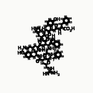 C[C@H](N)C(=O)N[C@H](Cc1ccccc1)C(=O)N[C@H](CCCNC(=N)N)C(=O)N[C@@H](Cc1ccc(O)cc1)C(=O)N[C@@H](CCCCN)C(=O)N[C@H](Cc1c[nH]c2ccccc12)C(=O)N[C@@H](Cc1c[nH]cn1)C(=O)N[C@H](Cc1ccc(O)cc1)C(=O)NCC(=O)N[C@@H](Cc1ccccc1)C(=O)O